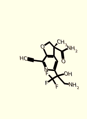 C#Cc1nc(C(O)(CN)C(F)(F)F)cc2c1OC[C@]2(C)C(N)=O